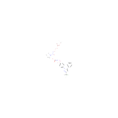 Cc1ccc(-c2cc(C(F)(F)F)nn2-c2ccc(S(=O)(=O)NC(=O)OC[C@@H]3CCCN3/[N+]([O-])=N/OCOC(=O)OC(C)C)cc2)cc1